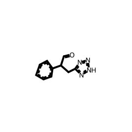 O=CC(Cc1nn[nH]n1)c1ccccc1